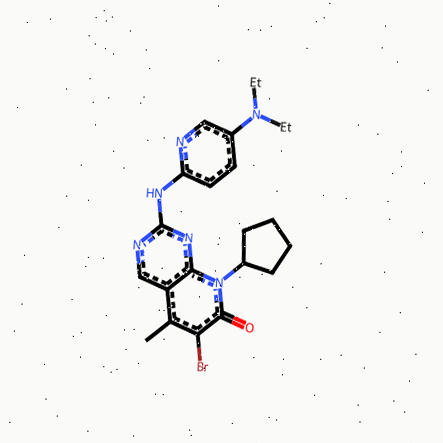 CCN(CC)c1ccc(Nc2ncc3c(C)c(Br)c(=O)n(C4CCCC4)c3n2)nc1